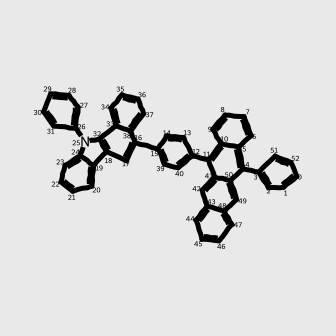 c1ccc(-c2c3ccccc3c(-c3ccc(-c4cc5c6ccccc6n(-c6ccccc6)c5c5ccccc45)cc3)c3cc4ccccc4cc23)cc1